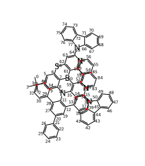 CC(C)(C)c1cc2c3c(c1)N(c1c(-c4ccccc4)cc(-c4ccccc4)cc1-c1ccccc1)c1cc(-n4c5ccccc5c5ccccc54)nc(-c4ccccc4)c1B3c1c(cc(-n3c4ccccc4c4ccccc43)nc1-c1ccccc1)S2